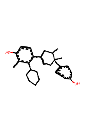 Cc1c(O)ccc(C2CCC(C)(c3ccc(O)cc3)C(C)C2)c1C1CCCCC1